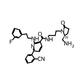 N#Cc1ccccc1-c1ccc(C(=O)NCCCN2C(=O)CC[C@H]2CN)c(NCCc2cccc(F)c2)n1